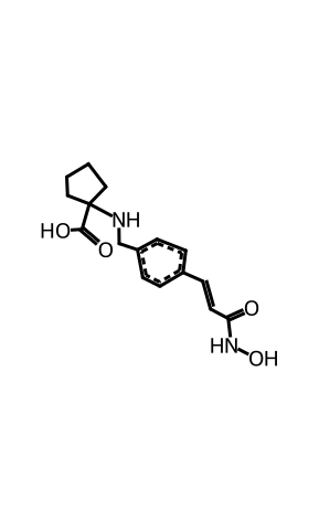 O=C(C=Cc1ccc(CNC2(C(=O)O)CCCC2)cc1)NO